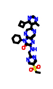 CCS(=O)(=O)c1cnc(CNc2nc3c(n(C4CCCCC4)c2=O)=NCC(c2c(C)ncnc2C2CCC2)=NC=3)nc1